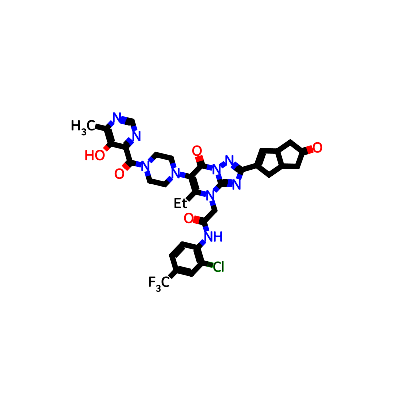 CCc1c(N2CCN(C(=O)c3ncnc(C)c3O)CC2)c(=O)n2nc(C3=CC4CC(=O)CC4C3)nc2n1CC(=O)Nc1ccc(C(F)(F)F)cc1Cl